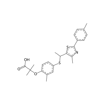 Cc1ccc(-c2nc(C)c(C(C)Sc3ccc(OC(C)(C)C(=O)O)c(C)c3)s2)cc1